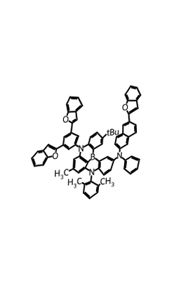 Cc1cc2c3c(c1)N(c1c(C)cccc1C)c1ccc(N(c4ccccc4)c4ccc5cc(-c6cc7ccccc7o6)ccc5c4)cc1B3c1cc(C(C)(C)C)ccc1N2c1cc(-c2cc3ccccc3o2)cc(-c2cc3ccccc3o2)c1